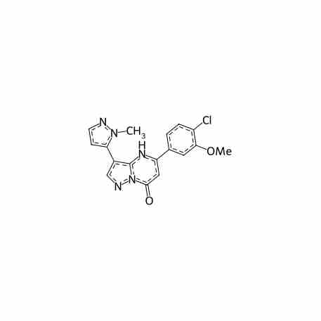 COc1cc(-c2cc(=O)n3ncc(-c4ccnn4C)c3[nH]2)ccc1Cl